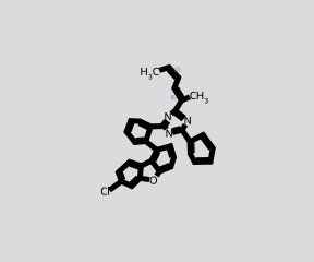 C/C=C\C=C(/C)c1nc(-c2ccccc2)nc(-c2ccccc2-c2cccc3oc4cc(Cl)ccc4c23)n1